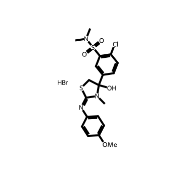 Br.COc1ccc(N=C2SCC(O)(c3ccc(Cl)c(S(=O)(=O)N(C)C)c3)N2C)cc1